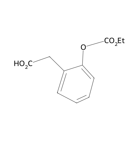 CCOC(=O)Oc1ccccc1CC(=O)O